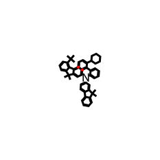 CC(C)(C)c1cccc2c1-c1ccc(N(c3ccc4c(c3)C(C)(C)c3ccccc3-4)c3ccccc3-c3ccccc3C3CCCCC3)cc1C2(C)C